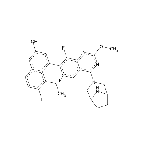 CCc1c(F)ccc2cc(O)cc(-c3c(F)cc4c(N5CC6CCC(C5)N6)nc(OC)nc4c3F)c12